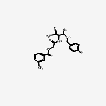 CC(C)c1ccc(CNC(C(NC(=O)CNC(=O)c2cccc(C(F)(F)F)c2)C(N)=O)C(C)(C)C)cc1